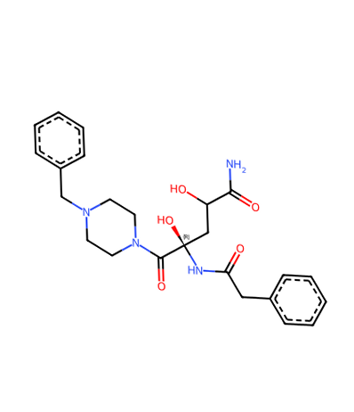 NC(=O)C(O)C[C@](O)(NC(=O)Cc1ccccc1)C(=O)N1CCN(Cc2ccccc2)CC1